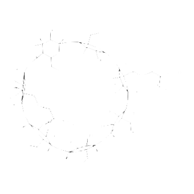 C[C@H](CSCC1O[C@@H]2O[C@@H]3C(CO)O[C@@H](O[C@H]4C(CO)O[C@@H](O[C@H]5C(CSC[C@@H](N)C(=O)O)O[C@@H](O[C@H]6C(CO)O[C@H](O[C@@H]7C(CO)O[C@H](O[C@@H]8C(CO)O[C@H](O[C@H]1[C@H](O)C2O)C(O)[C@H]8O)[C@@H](O)C7O)[C@@H](O)C6O)[C@@H](O)C5O)[C@@H](O)C4O)C(O)[C@H]3O)C(=O)O